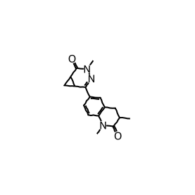 CC1Cc2cc(C3=NN(C)C(=O)C4CC34)ccc2N(C)C1=O